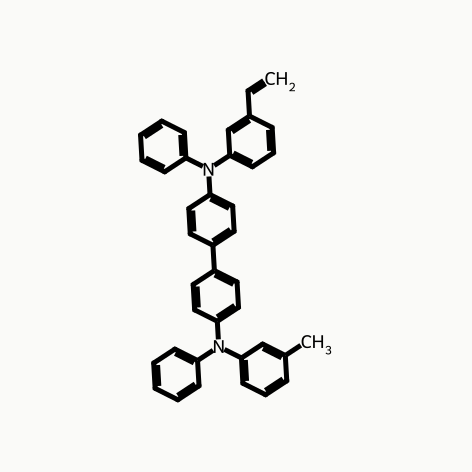 C=Cc1cccc(N(c2ccccc2)c2ccc(-c3ccc(N(c4ccccc4)c4cccc(C)c4)cc3)cc2)c1